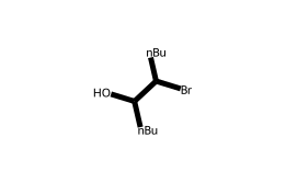 CCCCC(O)C(Br)CCCC